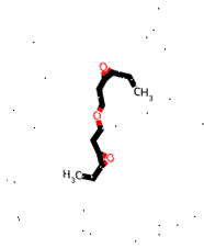 CCC1OC1CCOCCC1OC1CC